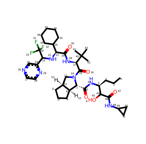 CCC[C@H](NC(=O)[C@@H]1[C@H]2CCC[C@H]2CN1C(=O)[C@@H](NC(=O)[C@@H](NC(c1cnccn1)C(F)(F)F)C1CCCCC1)C(C)(C)C)C(O)C(=O)NC1CC1